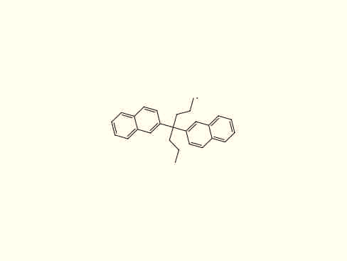 [CH2]CCC(CCC)(c1ccc2ccccc2c1)c1ccc2ccccc2c1